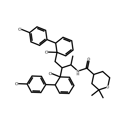 CC(NC(=O)C1CCOC(C)(C)C1)C(CC1(Cl)C=CC=CC1c1ccc(Cl)cc1)C1(Cl)C=CC=CC1c1ccc(Cl)cc1